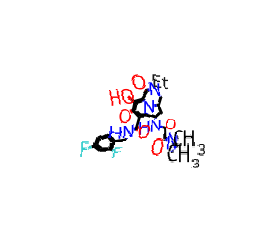 CCN1CC2CC(NC(=O)C(=O)N(C)C)c3c(C(=O)NCc4ccc(F)cc4F)c(=O)c(O)c(n32)C1=O